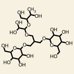 CC(O)C(CO)OC(OCC(COC1OC(CO)C(O)C(O)C1O)COC1OC(CO)C(O)C(O)C1O)C(O)O